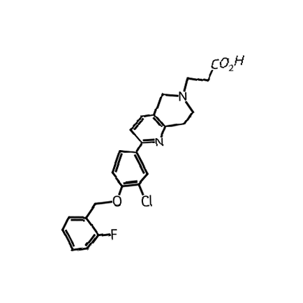 O=C(O)CCN1CCc2nc(-c3ccc(OCc4ccccc4F)c(Cl)c3)ccc2C1